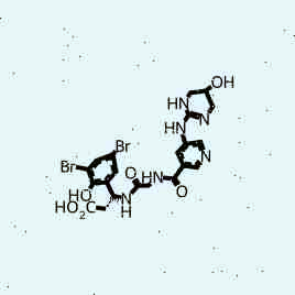 O=C(O)C[C@@H](NC(=O)CNC(=O)c1cncc(NC2=NCC(O)CN2)c1)c1cc(Br)cc(Br)c1O